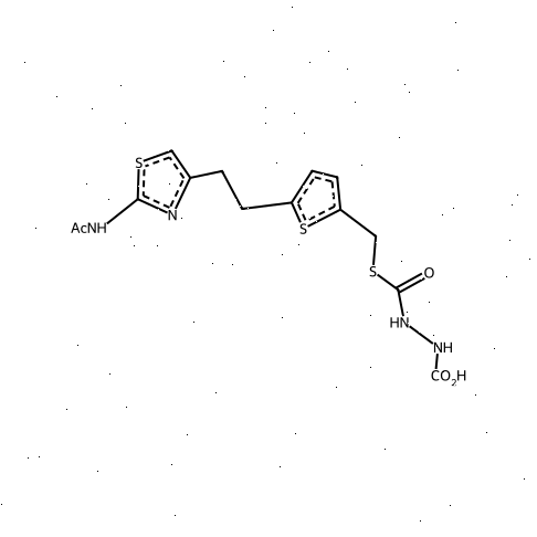 CC(=O)Nc1nc(CCc2ccc(CSC(=O)NNC(=O)O)s2)cs1